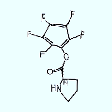 O=C(Oc1c(F)c(F)c(F)c(F)c1F)[C@H]1CCCN1